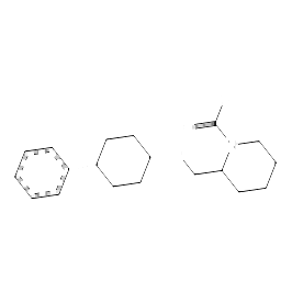 O=C(O)N1CCCCC1CO[C@H]1CC[C@@H](c2ccccc2)CC1